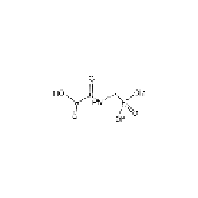 O=C(O)C(=O)NCP(=O)(O)O